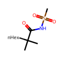 CCCCCCC(C)(C)C(=O)NS(C)(=O)=O